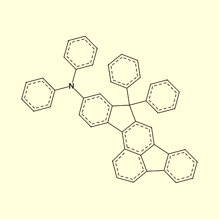 c1ccc(N(c2ccccc2)c2ccc3c(c2)C(c2ccccc2)(c2ccccc2)c2cc4c5c(cccc5c2-3)-c2ccccc2-4)cc1